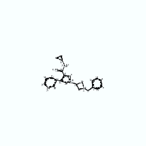 O=C(NC1CC1)c1nn(C2CN(Cc3ccccc3)C2)cc1-c1cccnc1